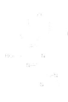 Cc1sc2c(O)nc(-c3nccn3C)nc2c1-c1ccccc1Cl